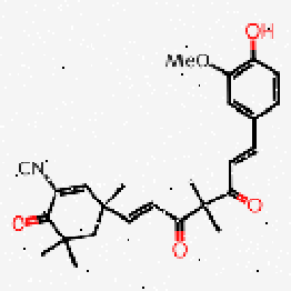 [C-]#[N+]C1=C[C@](C)(/C=C/C(=O)C(C)(C)C(=O)/C=C/c2ccc(O)c(OC)c2)CC(C)(C)C1=O